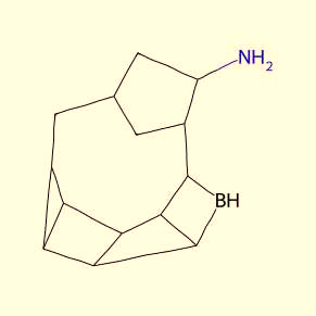 NC1CC2CC1C1BC3C1C1C3C3C(C2)C31